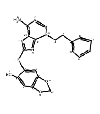 N#Cc1cc2c(cc1Sc1nc3c(N)ncn(CCc4ccccc4)c-3n1)OCO2